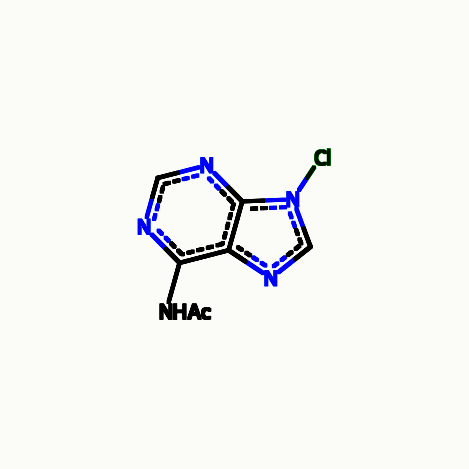 CC(=O)Nc1ncnc2c1ncn2Cl